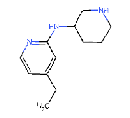 CCc1ccnc(NC2CCCNC2)c1